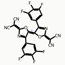 N#CC(C#N)=c1nc(-c2cc(F)c(F)c(F)c2)/c(=c2\oc(=C(C#N)C#N)nc2-c2cc(F)c(F)c(F)c2)o1